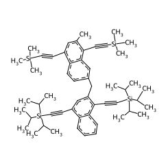 Cc1cc(C#C[Si](C)(C)C)c2ccc(Cc3cc(C#C[Si](C(C)C)(C(C)C)C(C)C)c4ccccc4c3C#C[Si](C(C)C)(C(C)C)C(C)C)cc2c1C#C[Si](C)(C)C